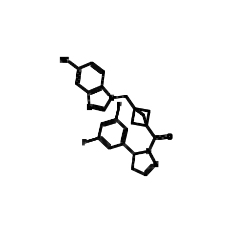 N#Cc1ccc2c(c1)ncn2CC12CC(C(=O)N3N=CCC3c3cc(F)cc(F)c3)(C1)C2